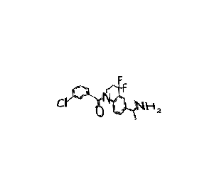 CC(N)c1ccc2c(c1)C(F)(F)CCN2C(=O)c1cccc(Cl)c1